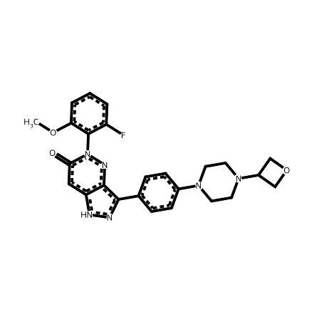 COc1cccc(F)c1-n1nc2c(-c3ccc(N4CCN(C5COC5)CC4)cc3)n[nH]c2cc1=O